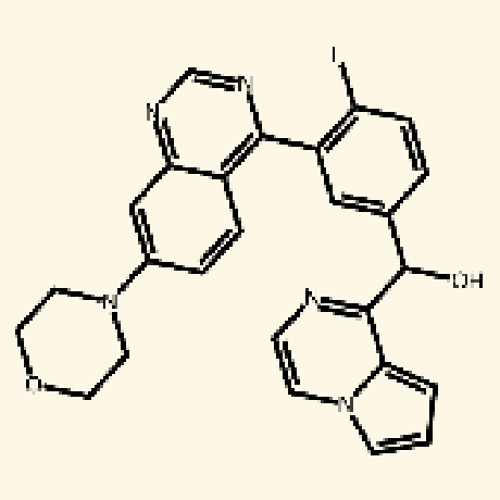 OC(c1ccc(F)c(-c2ncnc3cc(N4CCOCC4)ccc23)c1)c1nccn2cccc12